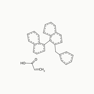 C=CC(=O)O.c1ccc(Cc2ccc3ccccc3c2-c2cccc3ccccc23)cc1